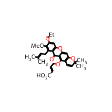 CCOc1cc2oc3cc4c(c(OC/C=C/C(=O)O)c3c(=O)c2c(CC=C(C)C)c1OC)C=CC(C)(C)O4